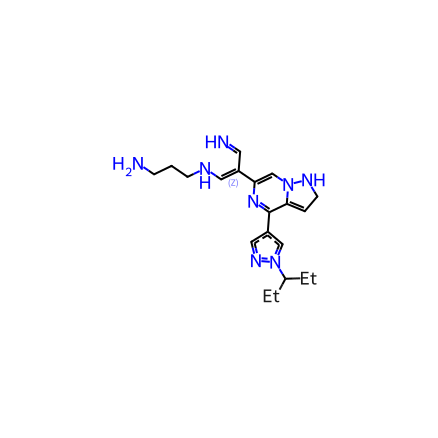 CCC(CC)n1cc(C2=NC(/C(C=N)=C/NCCCN)=CN3NCC=C23)cn1